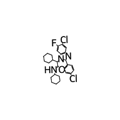 O=C(NC1CCCCC1)C(C1CCCCC1)n1c(-c2ccc(Cl)cc2)nc2cc(Cl)c(F)cc21